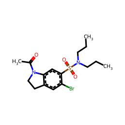 CCCN(CCC)S(=O)(=O)c1cc2c(cc1Br)CCN2C(C)=O